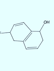 OC1CC=CC2=C1C=CC(F)C2